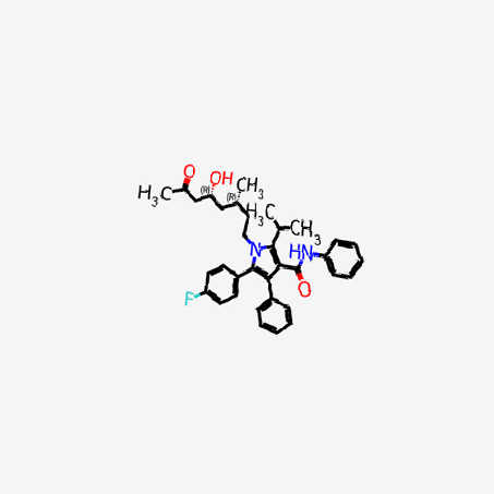 CC(=O)C[C@H](O)C[C@H](C)CCn1c(-c2ccc(F)cc2)c(-c2ccccc2)c(C(=O)Nc2ccccc2)c1C(C)C